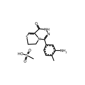 CS(=O)(=O)O.Cc1ccc(C2=NNC(=O)C3=CSCCN32)cc1N